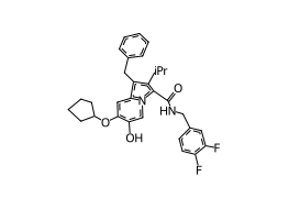 CC(C)c1c(Cc2ccccc2)c2cc(OC3CCCC3)c(O)cn2c1C(=O)NCc1ccc(F)c(F)c1